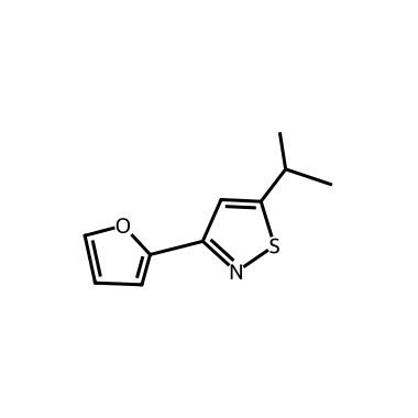 CC(C)c1cc(-c2ccco2)ns1